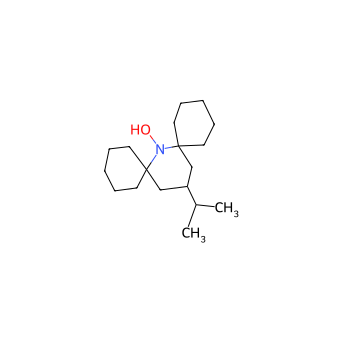 CC(C)C1CC2(CCCCC2)N(O)C2(CCCCC2)C1